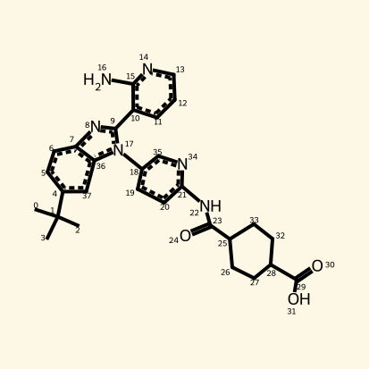 CC(C)(C)c1ccc2nc(-c3cccnc3N)n(-c3ccc(NC(=O)C4CCC(C(=O)O)CC4)nc3)c2c1